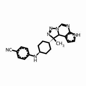 CC1([C@H]2CC[C@H](Nc3ccc(C#N)cc3)CC2)N=NN2C=Nc3[nH]ccc3C21